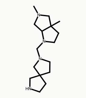 CN1CC2N(CN3CCC4(CCNC4)C3)CCC2(C)C1